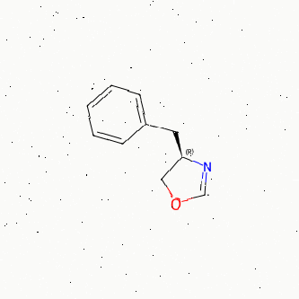 [C]1=N[C@H](Cc2ccccc2)CO1